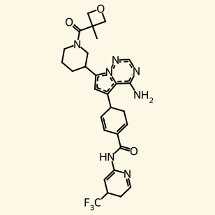 CC1(C(=O)N2CCCC(c3cc(C4C=CC(C(=O)NC5=CC(C(F)(F)F)CC=N5)=CC4)c4c(N)ncnn34)C2)COC1